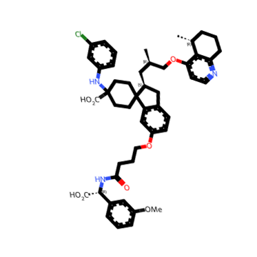 COc1cccc([C@@H](NC(=O)CCCOc2ccc3c(c2)C2(CCC(Nc4cccc(Cl)c4)(C(=O)O)CC2)[C@@H](C[C@@H](C)COc2ccnc4c2[C@H](C)CCC4)C3)C(=O)O)c1